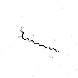 CCCCCCCCCCCCCCC(C)CN=O